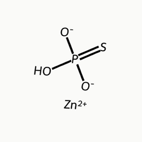 [O-]P([O-])(O)=S.[Zn+2]